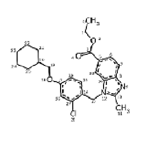 CCOC(=O)c1ccc2nc(C)n(Cc3ccc(OCC4CCCCC4)cc3Cl)c2c1